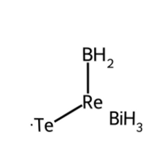 [BH2][Re][Te].[BiH3]